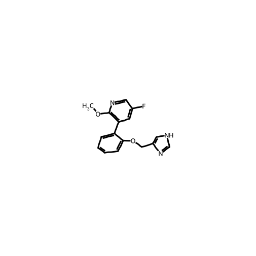 COc1ncc(F)cc1-c1ccccc1OCc1c[nH]cn1